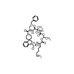 CC(OC(=O)NC(C)(C)C(=O)N[C@H](COCc1ccccc1)C(=O)N1CCC2(CC1)CN([S+](C)[O-])c1ccccc12)OC(=O)C(N)CCCCN